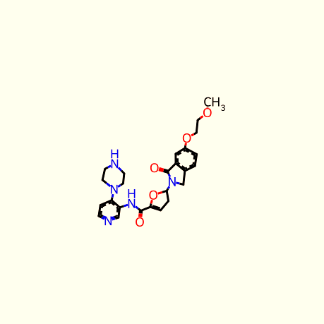 COCCOc1ccc2c(c1)C(=O)N(C1CC=C(C(=O)Nc3cnccc3N3CCNCC3)O1)C2